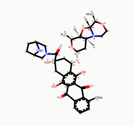 COc1cccc2c1C(=O)c1c(O)c3c(c(O)c1C2=O)C[C@@](O)(C(=O)N1CC2CCC(C1)N2)C[C@@H]3O[C@H]1C[C@H]2[C@H](O[C@@H]3[C@@H](OC)OCCN32)[C@H](C)O1